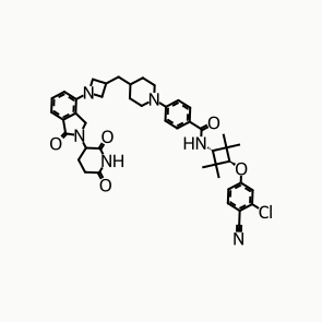 CC1(C)[C@H](NC(=O)c2ccc(N3CCC(CC4CN(c5cccc6c5CN(C5CCC(=O)NC5=O)C6=O)C4)CC3)cc2)C(C)(C)[C@H]1Oc1ccc(C#N)c(Cl)c1